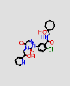 O=C(NCC1(O)CCCCCC1)c1cc(-n2ncc(=O)n(CC(O)c3ccccn3)c2=O)ccc1Cl